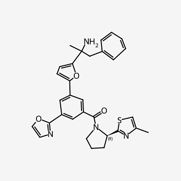 Cc1csc([C@H]2CCCN2C(=O)c2cc(-c3ccc(C(C)(N)Cc4ccccc4)o3)cc(-c3ncco3)c2)n1